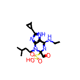 CCNC1=NC(C=O)(S(=O)(=O)O)N(CCC(C)C)c2nc(C3CC3)[nH]c21